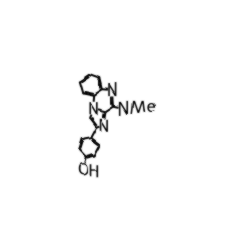 CNc1nc2ccccc2n2cc(-c3ccc(O)cc3)nc12